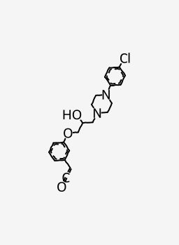 O=C=Cc1cccc(OCC(O)CN2CCN(c3ccc(Cl)cc3)CC2)c1